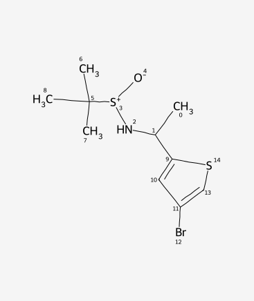 CC(N[S+]([O-])C(C)(C)C)c1cc(Br)cs1